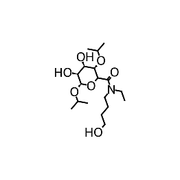 CCN(CCCCO)C(=O)C1O[C@@H](OC(C)C)[C@@H](O)[C@@H](O)[C@H]1OC(C)C